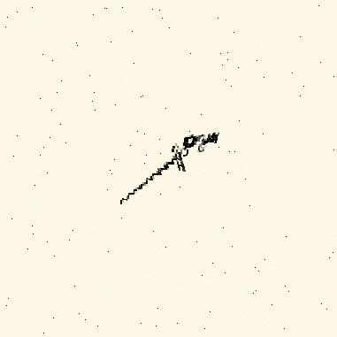 CCCCCCCCCCCCCCCCCCNC(=O)Oc1cccc(NC(=O)C2CC2)c1